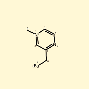 C[n+]1ccnc(CC(C)(C)C)c1